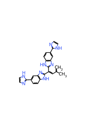 C=C(C)C=C(c1nc2cc(-c3ncc[nH]3)ccc2[nH]1)c1nc2cc(-c3ncc[nH]3)ccc2[nH]1